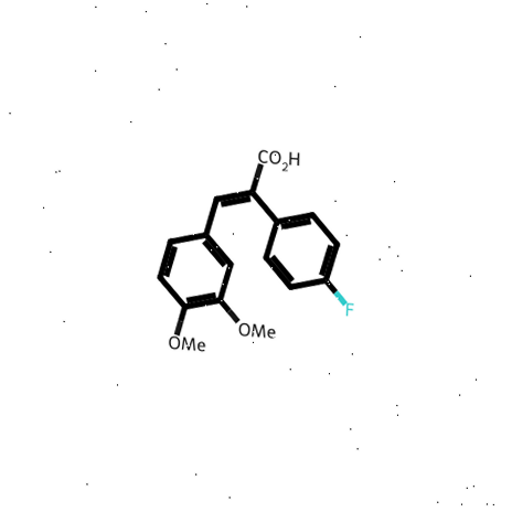 COc1ccc(C=C(C(=O)O)c2ccc(F)cc2)cc1OC